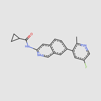 Cc1ncc(F)cc1-c1ccc2cc(NC(=O)C3CC3)ncc2c1